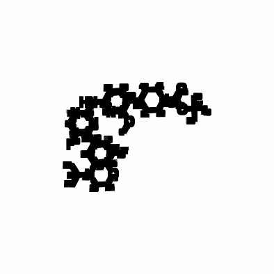 COc1nc(Nc2ncc(F)c(-c3cc(F)c4c(c3)N(C(C)C)CCO4)n2)ccc1C1CCN(C(=O)OC(C)(C)C)CC1